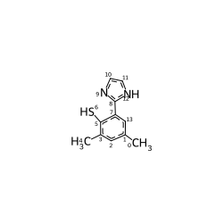 Cc1cc(C)c(S)c(-c2ncc[nH]2)c1